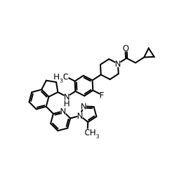 Cc1cc(C2CCN(C(=O)CC3CC3)CC2)c(F)cc1NC1CCc2cccc(-c3cccc(-n4nccc4C)n3)c21